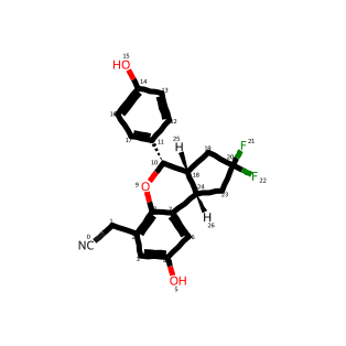 N#CCc1cc(O)cc2c1O[C@H](c1ccc(O)cc1)[C@@H]1CC(F)(F)C[C@H]21